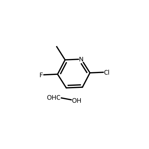 Cc1nc(Cl)ccc1F.O=CO